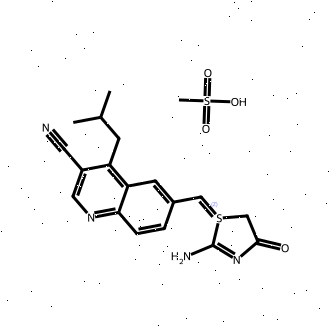 CC(C)Cc1c(C#N)cnc2ccc(/C=S3/CC(=O)N=C3N)cc12.CS(=O)(=O)O